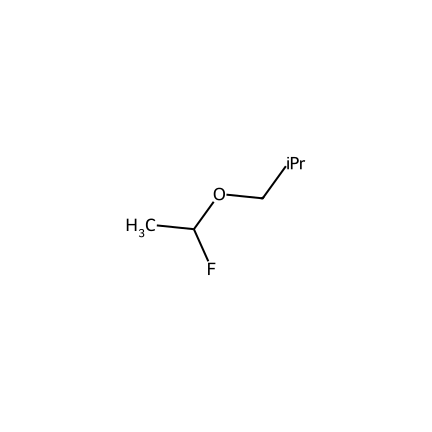 CC(C)COC(C)F